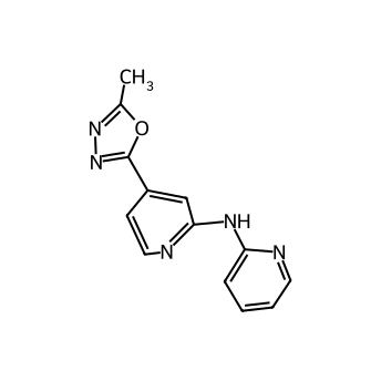 Cc1nnc(-c2ccnc(Nc3ccccn3)c2)o1